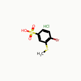 CSc1cc(S(=O)(=O)O)ccc1Br.Cl